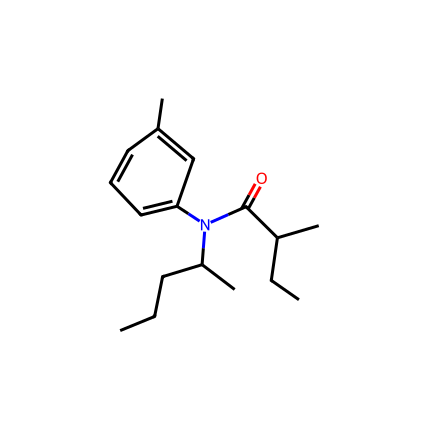 CCCC(C)N(C(=O)C(C)CC)c1cccc(C)c1